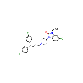 CC(=O)Cn1c(=O)n(C2CCN(CCCC(c3ccc(F)cc3)c3ccc(F)cc3)CC2)c2ccc(Cl)cc21